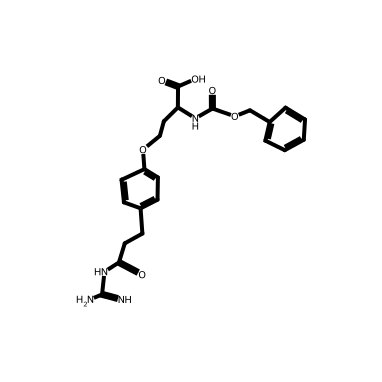 N=C(N)NC(=O)CCc1ccc(OCCC(NC(=O)OCc2ccccc2)C(=O)O)cc1